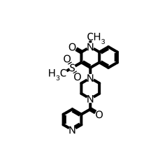 Cn1c(=O)c(S(C)(=O)=O)c(N2CCN(C(=O)c3cccnc3)CC2)c2ccccc21